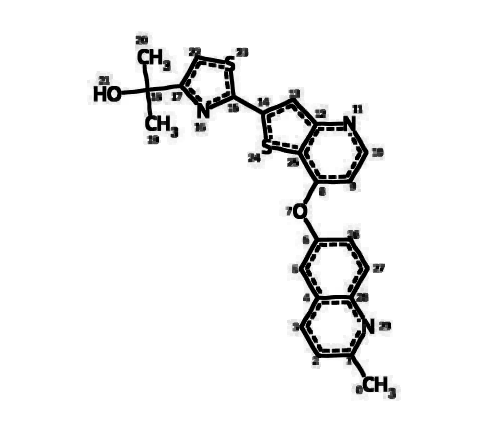 Cc1ccc2cc(Oc3ccnc4cc(-c5nc(C(C)(C)O)cs5)sc34)ccc2n1